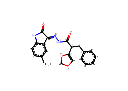 O=C1Nc2ccc(S(=O)(=O)O)cc2C1=NNC(=O)C(Cc1ccccc1)C1=COCO1